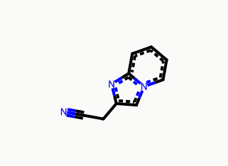 N#CCc1cn2ccccc2n1